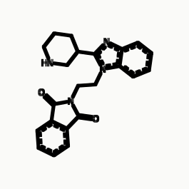 O=C1c2ccccc2C(=O)N1CCn1c(C2CCCNC2)nc2ccccc21